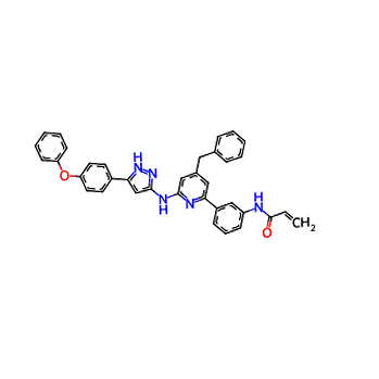 C=CC(=O)Nc1cccc(-c2cc(Cc3ccccc3)cc(Nc3cc(-c4ccc(Oc5ccccc5)cc4)[nH]n3)n2)c1